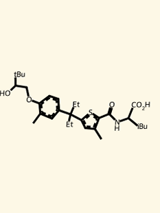 CCC(C)C(NC(=O)c1sc(C(CC)(CC)c2ccc(OCC(O)C(C)(C)C)c(C)c2)cc1C)C(=O)O